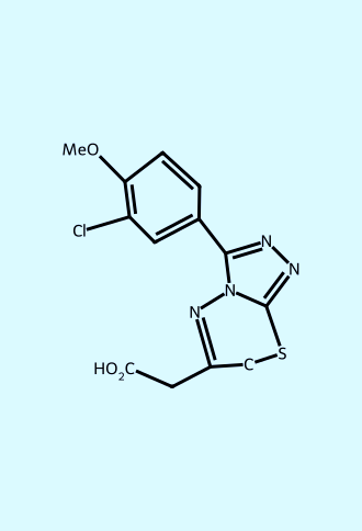 COc1ccc(-c2nnc3n2N=C(CC(=O)O)CS3)cc1Cl